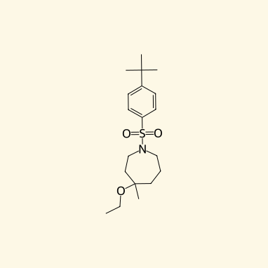 CCOC1(C)CCCN(S(=O)(=O)c2ccc(C(C)(C)C)cc2)CC1